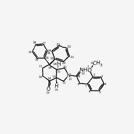 COc1ccccc1CC(=N)N1C[C@@H]2C(=O)CCC(c3ccccc3)(c3ccccc3)[C@H]2C1